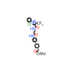 COC(=O)C[C@H]1CC[C@H](c2ccc(NC(=O)CCNC(=O)c3cn(-c4ccccc4Cl)nc3C(F)(F)F)cc2)CC1